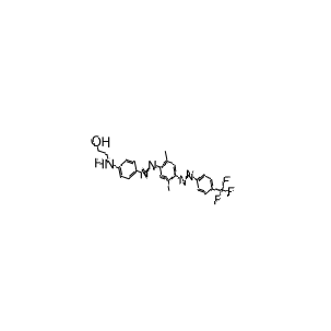 Cc1cc(/N=N/c2ccc(C(F)(F)F)cc2)c(C)cc1/N=N/c1ccc(NCCO)cc1